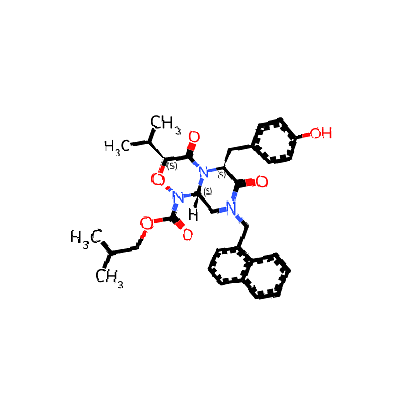 CC(C)COC(=O)N1O[C@@H](C(C)C)C(=O)N2[C@@H]1CN(Cc1cccc3ccccc13)C(=O)[C@@H]2Cc1ccc(O)cc1